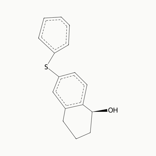 O[C@H]1CCCc2cc(Sc3ccccc3)ccc21